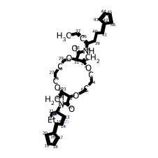 C=C1OCCCCOC(C(=O)NC(/C=C\C=C2C=CC=C2)=C/CC)C(=C)OCCCCOC1C(=O)NC(=C=CC)CCC=C1C=CC=C1